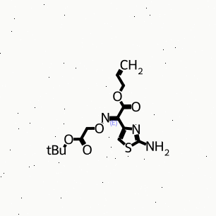 C=CCOC(=O)/C(=N/OCC(=O)OC(C)(C)C)c1csc(N)n1